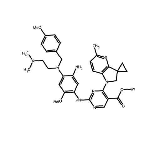 COc1ccc(CN(CCN(C)C)c2cc(OC)c(Nc3ncc(C(=O)OC(C)C)c(N4CC5(CC5)c5nc(C)ccc54)n3)cc2N)cc1